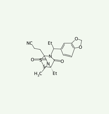 CCC(c1ccc2c(c1)OCO2)N1C(=O)[C@@]2(CC)SSC1(CCC#N)C(=O)N2C